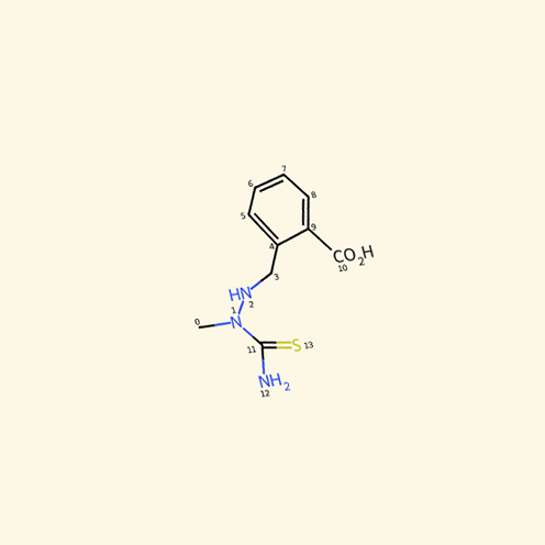 CN(NCc1ccccc1C(=O)O)C(N)=S